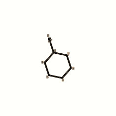 [S]C1[CH]CCCC1